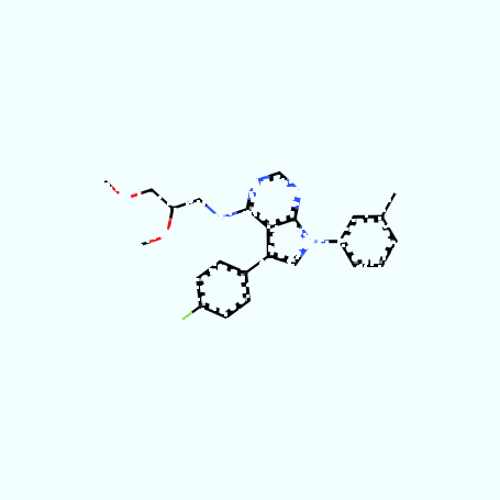 COCC(CNc1ncnc2c1c(-c1ccc(F)cc1)cn2-c1cccc(C)c1)OC